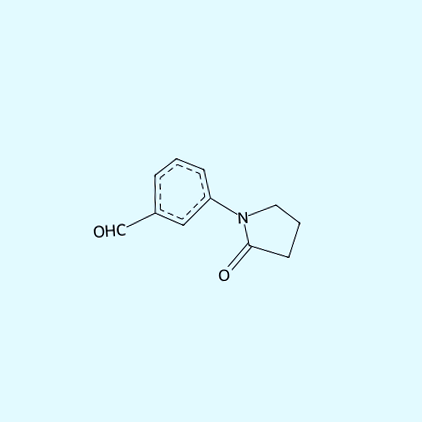 O=Cc1cccc(N2CCCC2=O)c1